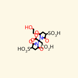 O=C(O)CC(C(=O)OCCO)(N1C(=O)CC(S(=O)(=O)O)C1=O)N1C(=O)CC(S(=O)(=O)O)C1=O